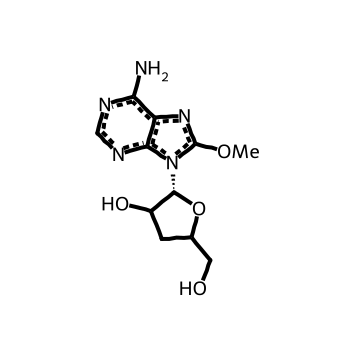 COc1nc2c(N)ncnc2n1[C@@H]1OC(CO)CC1O